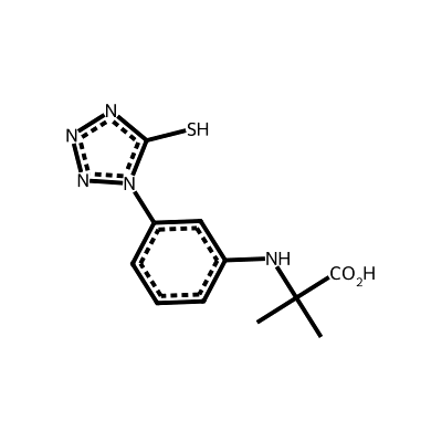 CC(C)(Nc1cccc(-n2nnnc2S)c1)C(=O)O